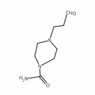 NC(=O)N1CCN(CCC=O)CC1